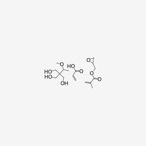 C=C(C)C(=O)OCC1CO1.C=CC(=O)O.COC(C)C(CO)(CO)CO